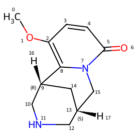 COc1ccc(=O)n2c1[C@H]1CNC[C@H](C1)C2